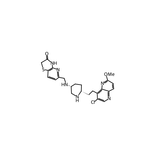 COc1ccc2ncc(Cl)c(CC[C@H]3CC[C@@H](NCc4ccc5c(n4)NC(=O)CS5)CN3)c2n1